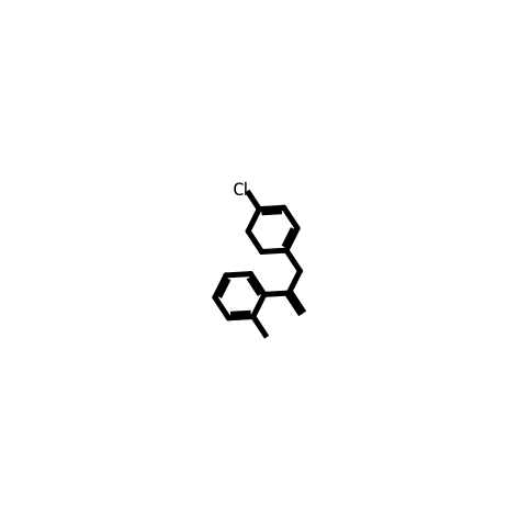 C=C(CC1=CC=C(Cl)CC1)c1ccccc1C